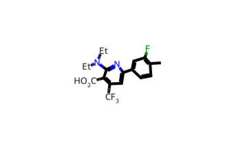 CCN(CC)c1nc(-c2ccc(C)c(F)c2)cc(C(F)(F)F)c1C(=O)O